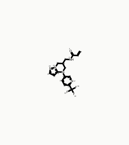 C=CC(=O)NCC1CN(c2ccc(C(F)(F)F)nc2)c2ccnn2C1